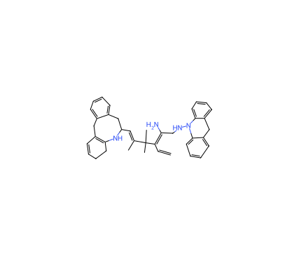 C=C/C(=C(/N)CNN1c2ccccc2Cc2ccccc21)C(C)(C)/C(C)=C/C1Cc2ccccc2CC2=C(CCC=C2)N1